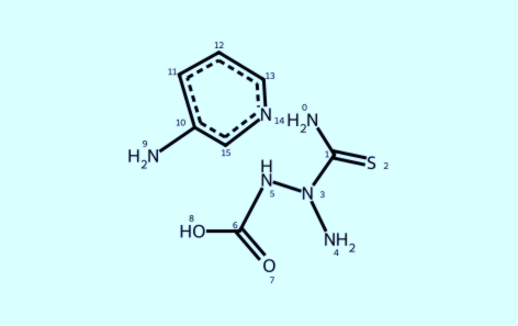 NC(=S)N(N)NC(=O)O.Nc1cccnc1